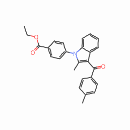 CCOC(=O)c1ccc(-n2c(C)c(C(=O)c3ccc(C)cc3)c3ccccc32)cc1